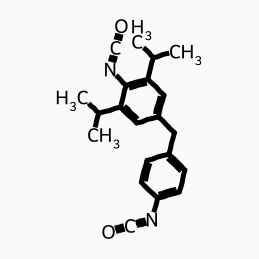 CC(C)c1cc(Cc2ccc(N=C=O)cc2)cc(C(C)C)c1N=C=O